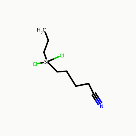 CCC[Si](Cl)(Cl)CCCCC#N